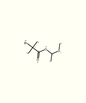 COC(C)OC(=O)C(C)(C)Br